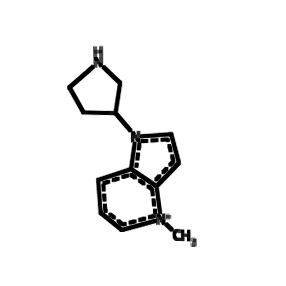 C[n+]1cccc2c1ccn2C1CCNC1